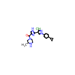 C[C@H]1CN(C(=O)c2c[nH]c(-c3cnn(-c4ccc(C5CC5)cc4)c3)n2)CCN1.Cl